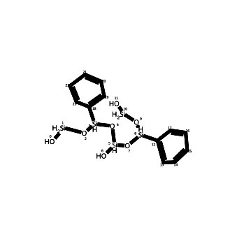 O[SiH2]O[SiH](O[SiH](O)O[SiH](O[SiH2]O)c1ccccc1)c1ccccc1